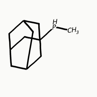 CPC12CC3CC(CC(C3)C1)C2